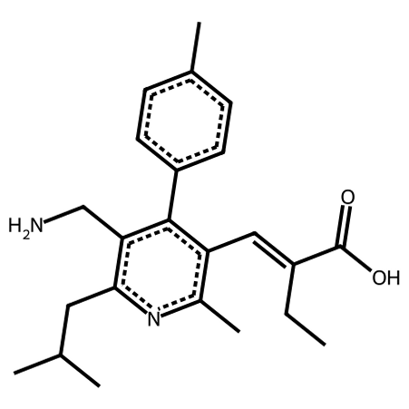 CC/C(=C\c1c(C)nc(CC(C)C)c(CN)c1-c1ccc(C)cc1)C(=O)O